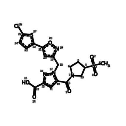 CS(=O)(=O)C1CCN(C(=O)c2cc(C(=O)O)nn2Cc2cc(-c3ccc(Cl)s3)on2)C1